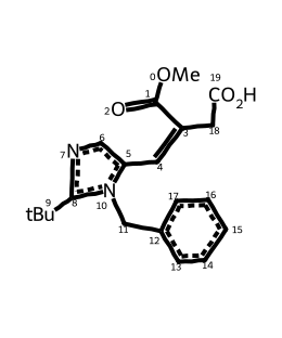 COC(=O)/C(=C\c1cnc(C(C)(C)C)n1Cc1ccccc1)CC(=O)O